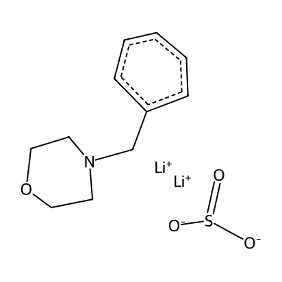 O=S([O-])[O-].[Li+].[Li+].c1ccc(CN2CCOCC2)cc1